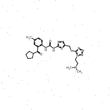 Cc1ccc(NC(=O)Nc2ncc(CSc3nnnn3CCN(C)C)s2)c(C(=O)C2CCCC2)c1